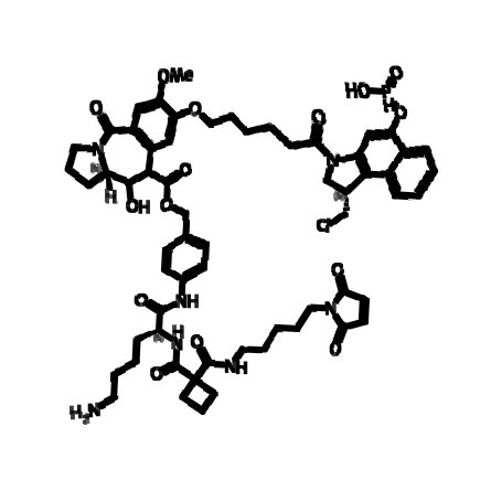 COc1cc2c(cc1OCCCCCC(=O)N1C[C@@H](CCl)c3c1cc(O[PH](=O)O)c1ccccc31)C(C(=O)OCc1ccc(NC(=O)[C@H](CCCCN)NC(=O)C3(C(=O)NCCCCCN4C(=O)C=CC4=O)CCC3)cc1)C(O)[C@@H]1CCCN1C2=O